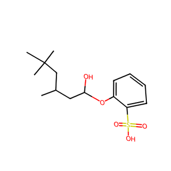 CC(CC(O)Oc1ccccc1S(=O)(=O)O)CC(C)(C)C